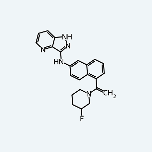 C=C(c1cccc2cc(Nc3n[nH]c4cccnc34)ccc12)N1CCCC(F)C1